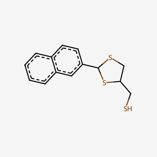 SCC1CSC(c2ccc3ccccc3c2)S1